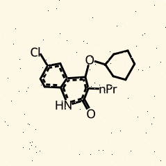 CCCc1c(OC2CCCCC2)c2cc(Cl)ccc2[nH]c1=O